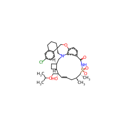 CC(C)OC[C@]1(O)/C=C/C[C@H](C)[C@@H](C)S(=O)(=O)NC(=O)c2ccc3c(c2)N(C[C@@H]2CC[C@H]21)C[C@@]1(CCCc2cc(Cl)ccc21)CO3